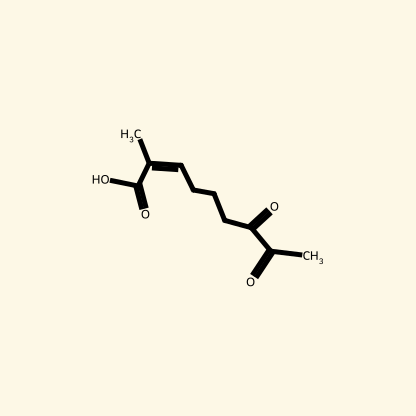 CC(=O)C(=O)CCCC=C(C)C(=O)O